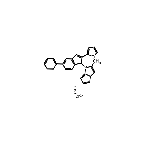 CC1=CC2C=CC=C2P1C1C(c2ccco2)=Cc2cc(-c3ccccc3)ccc21.[Cl-].[Cl-].[Zr+2]